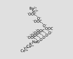 O=C([O-])[O-].O=C([O-])[O-].O=C([O-])[O-].O=C([O-])[O-].O=C([O-])[O-].O=C([O-])[O-].O=C([O-])[O-].[Ba+2].[Ca+2].[Ce+3].[K+].[Na+].[Sr+2].[Y+3]